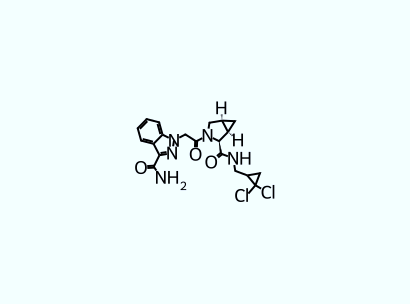 NC(=O)c1nn(CC(=O)N2C[C@H]3C[C@H]3[C@H]2C(=O)NCC2CC2(Cl)Cl)c2ccccc12